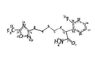 NC(=O)C(CCCCCc1noc(C(F)(F)F)n1)c1ccccc1F